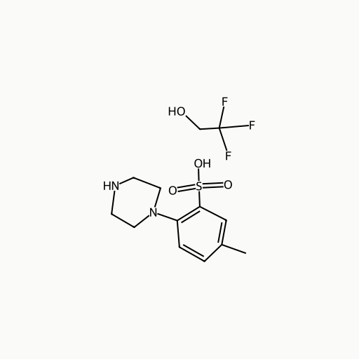 Cc1ccc(N2CCNCC2)c(S(=O)(=O)O)c1.OCC(F)(F)F